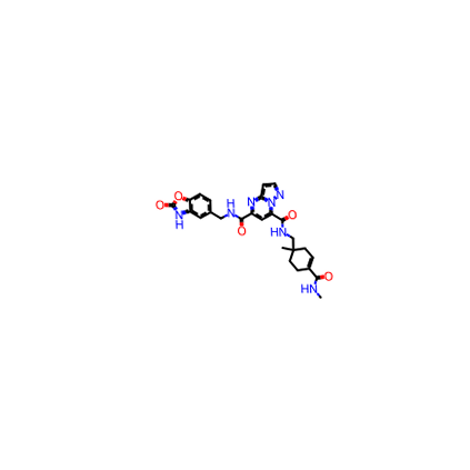 CNC(=O)C1=CCC(C)(CNC(=O)c2cc(C(=O)NCc3ccc4oc(=O)[nH]c4c3)nc3ccnn23)CC1